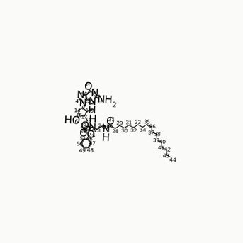 C=C1C(n2cnc3c(=O)nc(N)[nH]c32)C[C@H](O)[C@H]1COP(=O)(NCCNC(=O)CCCCCCC/C=C\CCCCCCCC)Oc1ccccc1